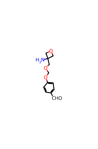 NC1(COCOc2ccc(C=O)cc2)COC1